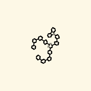 c1ccc(-c2cccc(-c3cccc(-c4ccc(-c5cc(-c6cccc(-c7cccc(-n8c9ccccc9c9ccccc98)c7)c6)nc(-c6ccc(-c7cccc(-c8cccc(-c9ccccc9)c8)c7)cc6)n5)cc4)c3)c2)cc1